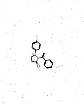 C=C(c1ccccc1)N1C(=O)CC[C@H]1c1ccc(F)cc1